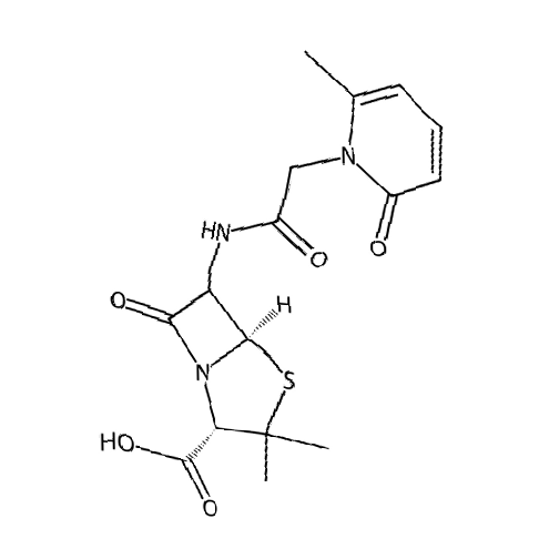 Cc1cccc(=O)n1CC(=O)NC1C(=O)N2[C@@H]1SC(C)(C)[C@@H]2C(=O)O